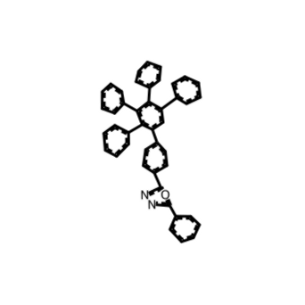 c1ccc(-c2nnc(-c3ccc(-c4cc(-c5ccccc5)c(-c5ccccc5)c(-c5ccccc5)c4-c4ccccc4)cc3)o2)cc1